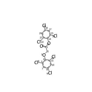 O=C(COc1c(Cl)cc(Cl)cc1Cl)Oc1c(Cl)cc(Cl)cc1Cl